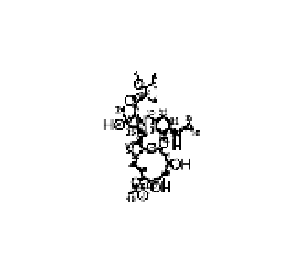 CC[C@H](OC)[C@@H](C)[C@H]1O[C@@H]1C(NCc1ccc(NC2CC2)cc1)C(C)(O)/C=C/C=C(\C)C1OC(=O)C[C@H](O)CC[C@@](C)(O)[C@@H](OC(C)=O)/C=C/[C@@H]1C